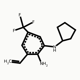 C=Cc1cc(C(F)(F)F)cc(NC2CCCC2)c1N